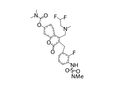 CNS(=O)(=O)Nc1cccc(Cc2c(CN(C)CC(F)F)c3ccc(OC(=O)N(C)C)cc3oc2=O)c1F